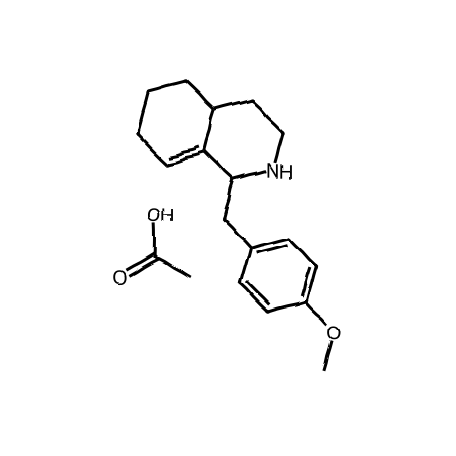 CC(=O)O.COc1ccc(CC2NCCC3CCCC=C32)cc1